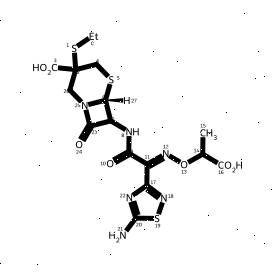 CCSC1(C(=O)O)CS[C@@H]2C(NC(=O)C(=NOC(C)C(=O)O)c3nsc(N)n3)C(=O)N2C1